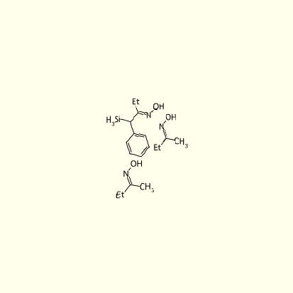 CCC(=NO)C([SiH3])c1ccccc1.CCC(C)=NO.CCC(C)=NO